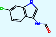 O=[C]Nc1c[nH]c2cc(Cl)ccc12